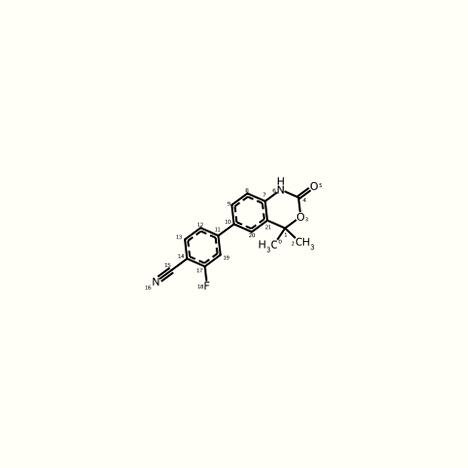 CC1(C)OC(=O)Nc2ccc(-c3ccc(C#N)c(F)c3)cc21